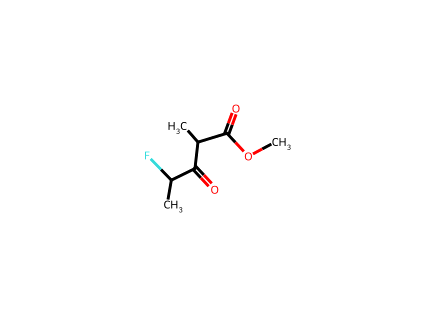 COC(=O)C(C)C(=O)C(C)F